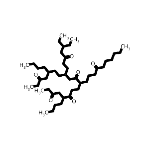 CCCCCCC(=O)CCCC(CCC(=O)C(CCCC)CC(=O)CC)C(=O)CC(CCC(=O)CC(CC)CC)CCC(CCCC)CC(=O)CC